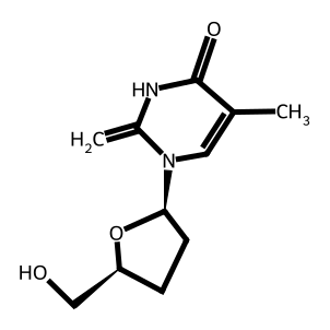 C=C1NC(=O)C(C)=CN1[C@H]1CC[C@@H](CO)O1